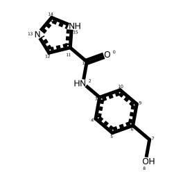 O=C(Nc1ccc(CO)cc1)c1cnc[nH]1